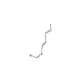 C/C=C/C=C/N=C\CC